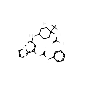 CC(C)(C)C1(NC(=O)O)CCC(Nc2cc(NC(=O)Nc3ccccc3)c3nccn3n2)CC1